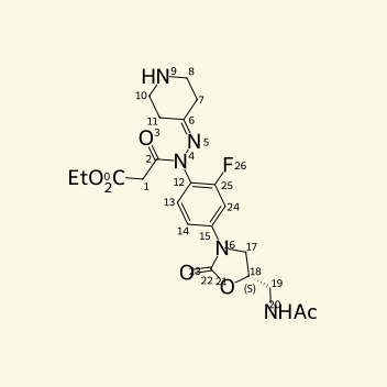 CCOC(=O)CC(=O)N(N=C1CCNCC1)c1ccc(N2C[C@H](CNC(C)=O)OC2=O)cc1F